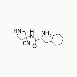 N#CC1(NC(=O)C(N)CC2CCCCC2)CCNC1